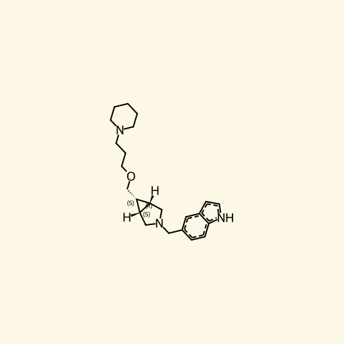 c1cc2cc(CN3C[C@@H]4[C@H](COCCCN5CCCCC5)[C@@H]4C3)ccc2[nH]1